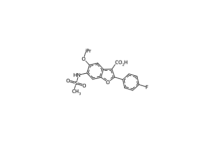 CC(C)Oc1cc2c(C(=O)O)c(-c3ccc(F)cc3)oc2cc1NS(C)(=O)=O